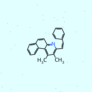 Cc1c(/C=C\c2ccccc2)nc2ccc3ccccc3c2c1C